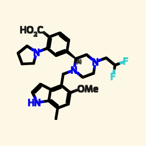 COc1cc(C)c2[nH]ccc2c1CN1CCN(CC(F)F)C[C@@H]1c1ccc(C(=O)O)c(N2CCCC2)c1